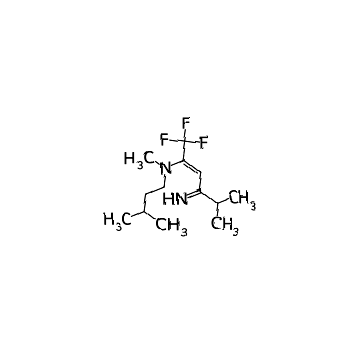 CC(C)CCN(C)/C(=C\C(=N)C(C)C)C(F)(F)F